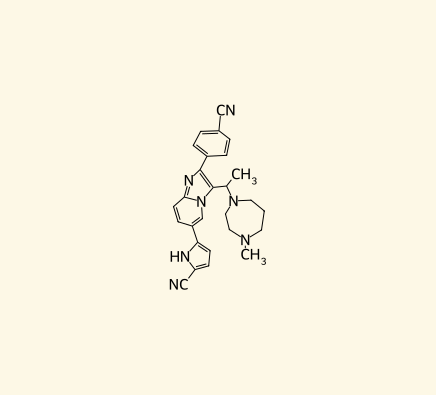 CC(c1c(-c2ccc(C#N)cc2)nc2ccc(-c3ccc(C#N)[nH]3)cn12)N1CCCN(C)CC1